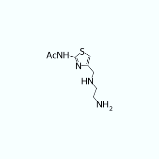 CC(=O)Nc1nc(CNCCN)cs1